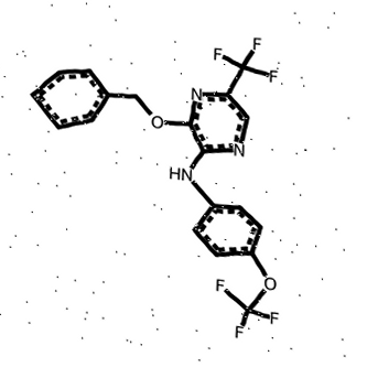 FC(F)(F)Oc1ccc(Nc2ncc(C(F)(F)F)nc2OCc2ccccc2)cc1